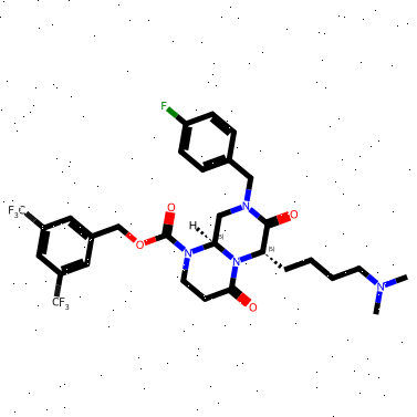 CN(C)CCCC[C@H]1C(=O)N(Cc2ccc(F)cc2)C[C@@H]2N(C(=O)OCc3cc(C(F)(F)F)cc(C(F)(F)F)c3)CCC(=O)N21